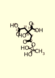 C[Si](O)(O)OC(=O)CC(O)(CC(=O)O)C(=O)O